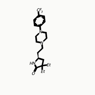 CCC1(CC)C[C@H](CCN2CCN(c3ccc(C(F)(F)F)cc3)CC2)NC1=O